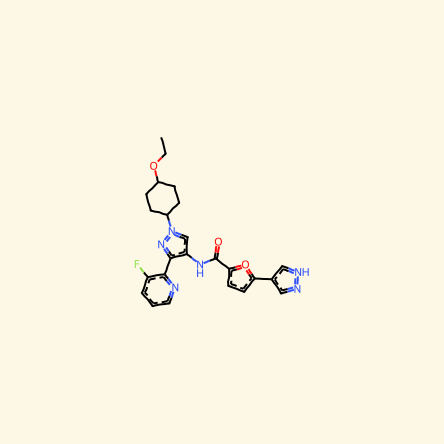 CCOC1CCC(n2cc(NC(=O)c3ccc(-c4cn[nH]c4)o3)c(-c3ncccc3F)n2)CC1